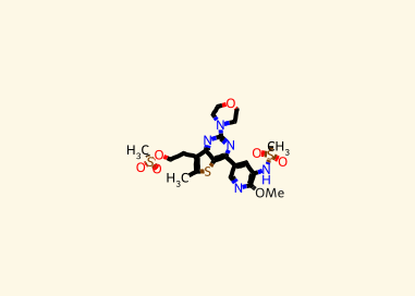 COc1ncc(-c2nc(N3CCOCC3)nc3c(CCOS(C)(=O)=O)c(C)sc23)cc1NS(C)(=O)=O